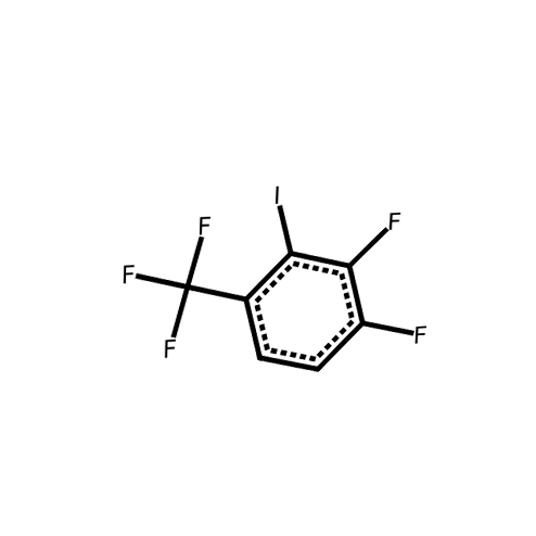 Fc1ccc(C(F)(F)F)c(I)c1F